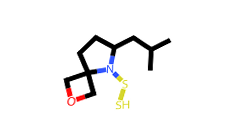 CC(C)CC1CCC2(COC2)N1SS